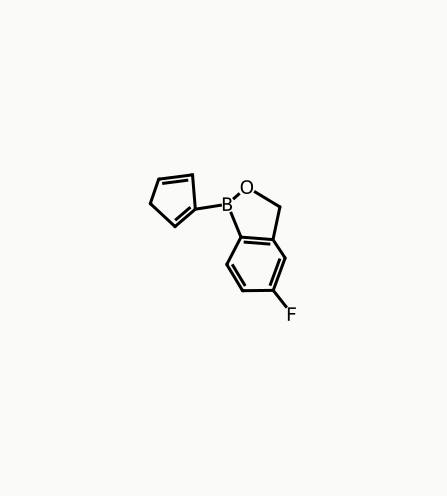 Fc1ccc2c(c1)COB2C1=CCC=C1